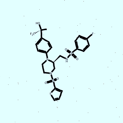 C[C@](O)(c1ccc(N2CCN(S(=O)(=O)c3cccs3)C[C@@H]2CNS(=O)(=O)c2ccc(F)cc2)cc1)C(F)(F)F